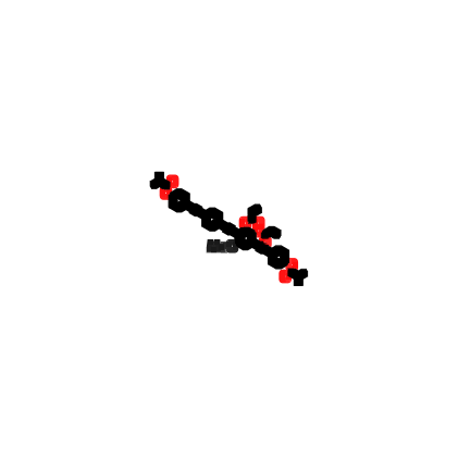 C=CC(=O)Oc1c(C#Cc2ccc(OC(=O)C(=C)C)cc2)cc(OC)c(C#Cc2ccc(C#Cc3ccc(OC(=O)C(=C)C)cc3)cc2)c1OC(=O)C=C